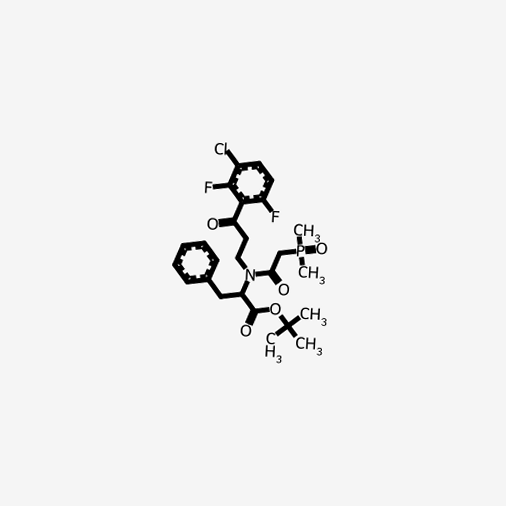 CC(C)(C)OC(=O)C(Cc1ccccc1)N(CCC(=O)c1c(F)ccc(Cl)c1F)C(=O)CP(C)(C)=O